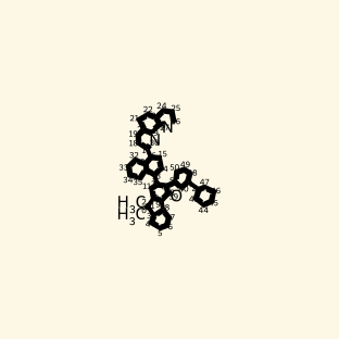 CC1(C)c2ccccc2-c2c1cc(-c1ccc(-c3ccc4ccc5cccnc5c4n3)c3ccccc13)c1c2oc2c(-c3ccccc3)cccc21